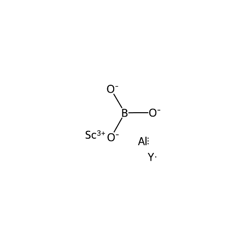 [Al].[O-]B([O-])[O-].[Sc+3].[Y]